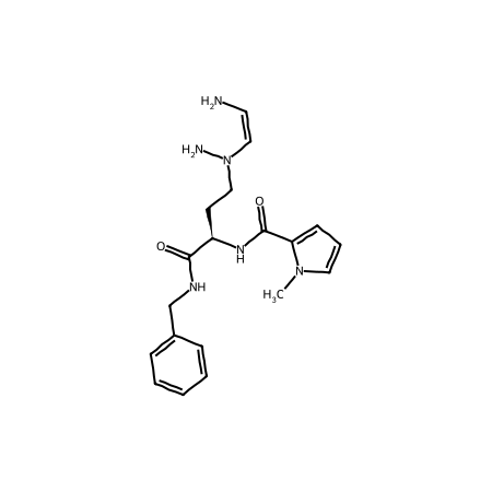 Cn1cccc1C(=O)N[C@H](CCN(N)/C=C\N)C(=O)NCc1ccccc1